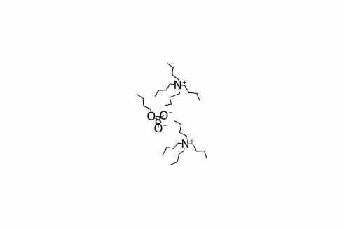 CCCCOB([O-])[O-].CCCC[N+](CCCC)(CCCC)CCCC.CCCC[N+](CCCC)(CCCC)CCCC